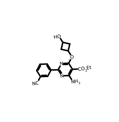 CCOC(=O)c1c(N)nc(-c2cccc(C#N)c2)nc1OC1CC(O)C1